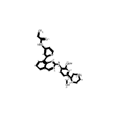 C=CC(=O)Nc1ccnc(-c2cccc3cnc(Nc4ccc([C@@]5(CO)CNCCO5)nc4OC)nc23)c1